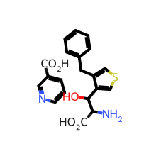 NC(C(=O)O)C(O)c1cscc1Cc1ccccc1.O=C(O)c1cccnc1